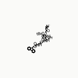 CC(C)C[C@H](NC(=O)COCCNC(=O)OCC1c2ccccc2-c2ccccc21)C(=O)N[C@@H](CCC(=O)C=[N+]=[N-])C(=O)OC(C)(C)C